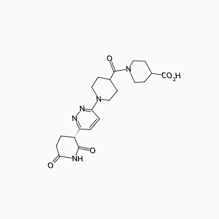 O=C1CC[C@H](c2ccc(N3CCC(C(=O)N4CCC(C(=O)O)CC4)CC3)nn2)C(=O)N1